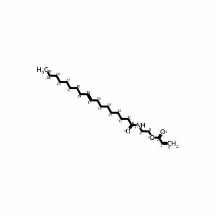 C=CC(=O)OCCNC(=O)CCCCCCCC=CCCCCCCCC